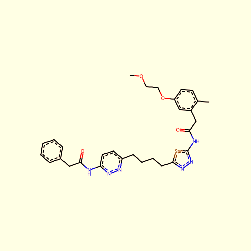 COCCOc1ccc(C)c(CC(=O)Nc2nnc(CCCCc3ccc(NC(=O)Cc4ccccc4)nn3)s2)c1